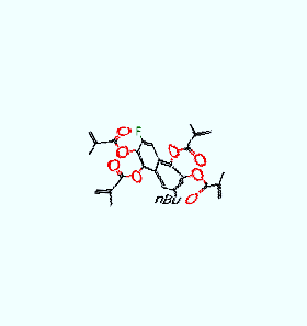 C=C(C)C(=O)Oc1c(F)cc2c(OC(=O)C(=C)C)c(OC(=O)C(=C)C)c(CCCC)cc2c1OC(=O)C(=C)C